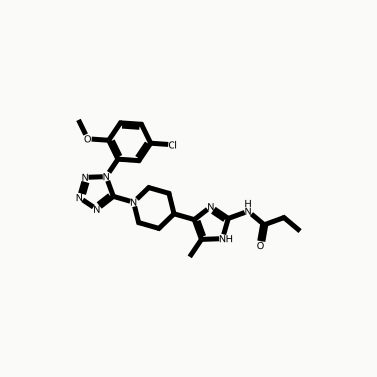 CCC(=O)Nc1nc(C2CCN(c3nnnn3-c3cc(Cl)ccc3OC)CC2)c(C)[nH]1